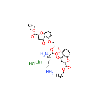 CCOC(=O)c1cc(=O)c2c(OCC(COc3cccc4oc(C(=O)OCC)cc(=O)c34)OC(=O)[C@@H](N)CCCCN)cccc2o1.Cl.Cl